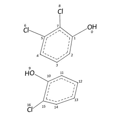 Oc1cccc(Cl)c1Cl.Oc1ccccc1Cl